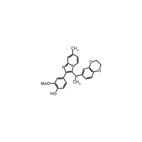 COc1cc(-c2nc3cc(C)ccn3c2N(C)c2ccc3c(c2)OCCO3)ccc1O